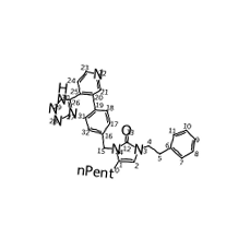 CCCCCc1cn(CCc2ccccc2)c(=O)n1Cc1ccc(-c2cnccc2-c2nnn[nH]2)cc1